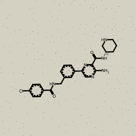 Nc1ncc(-c2cccc(CNC(=O)c3ccc(Cl)cc3)c2)nc1C(=O)N[C@H]1CCCNC1